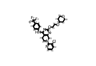 FC(F)(F)c1ccc(Nc2nc(OCCOC3CCOCC3)nc3c2CCN(c2ncccc2Cl)C3)cc1